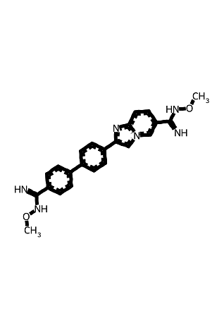 CONC(=N)c1ccc(-c2ccc(-c3cn4cc(C(=N)NOC)ccc4n3)cc2)cc1